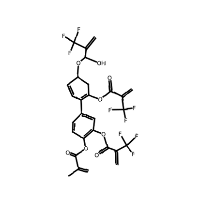 C=C(C)C(=O)Oc1ccc(C2=C(OC(=O)C(=C)C(F)(F)F)CC(OC(O)C(=C)C(F)(F)F)C=C2)cc1OC(=O)C(=C)C(F)(F)F